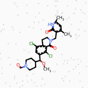 COC(c1cc(Cl)c2c(c1Cl)C(=O)N(Cc1c(C)cc(C)[nH]c1=O)CC2)C1CCN(C=O)CC1